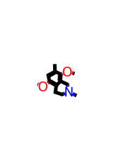 COc1cc(C)c(OC)c2c1CCN(C)C2